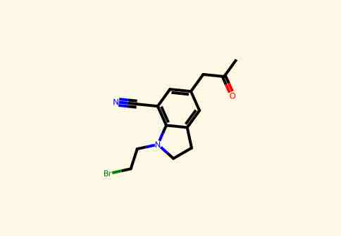 CC(=O)Cc1cc(C#N)c2c(c1)CCN2CCBr